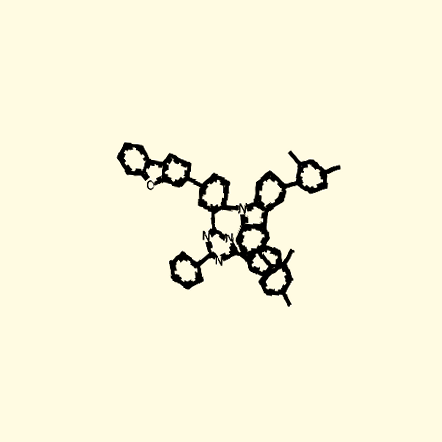 Cc1ccc(-c2ccc3c(c2)c2cc(-c4ccc(C)cc4C)ccc2n3-c2ccc(-c3ccc4c(c3)oc3ccccc34)cc2-c2nc(-c3ccccc3)nc(-c3ccccc3)n2)c(C)c1